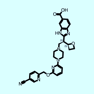 N#Cc1ccc(COc2cccc(N3CCN(C[C@@H](c4nc5ccc(C(=O)O)cc5[nH]4)[C@@H]4CCO4)CC3)n2)nc1